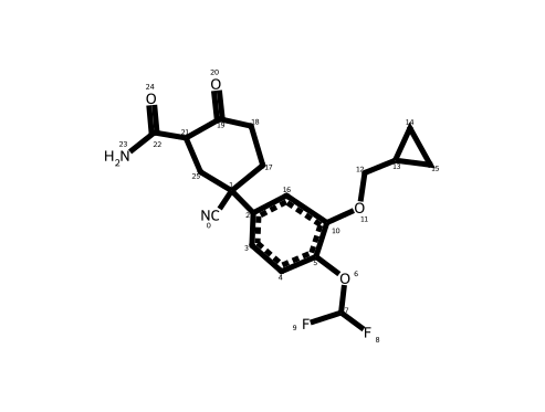 N#CC1(c2ccc(OC(F)F)c(OCC3CC3)c2)CCC(=O)C(C(N)=O)C1